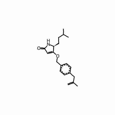 C=C(C)Cc1ccc(COC2=CC(=O)N[C@H]2CCC(C)C)cc1